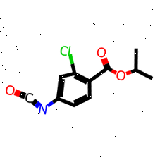 CC(C)OC(=O)c1ccc(N=C=O)cc1Cl